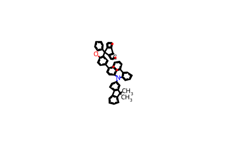 CC1(C)c2ccccc2-c2ccc(N(c3ccc(-c4ccc5c(c4)C4(c6ccccc6O5)c5ccccc5-c5ccccc54)cc3)c3ccccc3-c3ccccc3)cc21